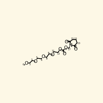 COCCOCCOCCOCCOC(=O)OCN1C(=O)CCCC1=O